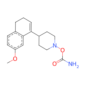 COc1ccc2c(c1)C(C1CCN(OC(N)=O)CC1)=CCC2